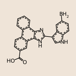 Bc1ccc2[nH]cc(-c3nc4c5ccccc5c5ccc(C(=O)O)cc5c4[nH]3)c2c1